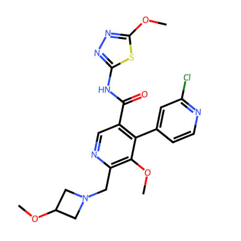 COc1nnc(NC(=O)c2cnc(CN3CC(OC)C3)c(OC)c2-c2ccnc(Cl)c2)s1